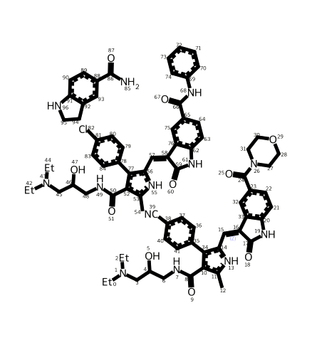 CCN(CC)CC(O)CNC(=O)c1c(C)[nH]c(/C=C2\C(=O)Nc3ccc(C(=O)N4CCOCC4)cc32)c1-c1ccc(C#N)cc1.CCN(CC)CC(O)CNC(=O)c1c(C)[nH]c(C=C2C(=O)Nc3ccc(C(=O)Nc4ccccc4)cc32)c1-c1ccc(Cl)cc1.NC(=O)c1ccc2c(c1)CCN2